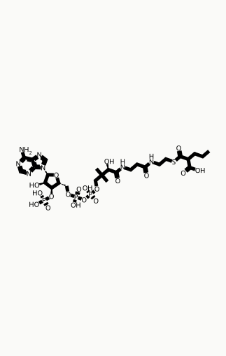 CCCC(C(=O)O)C(=O)SCCNC(=O)CCNC(=O)[C@H](O)C(C)(C)COP(=O)(O)OP(=O)(O)OC[C@H]1O[C@@H](n2cnc3c(N)ncnc32)[C@H](O)[C@@H]1OP(=O)(O)O